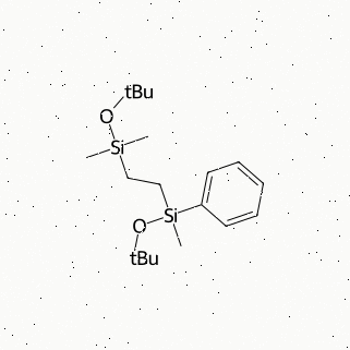 CC(C)(C)O[Si](C)(C)CC[Si](C)(OC(C)(C)C)c1ccccc1